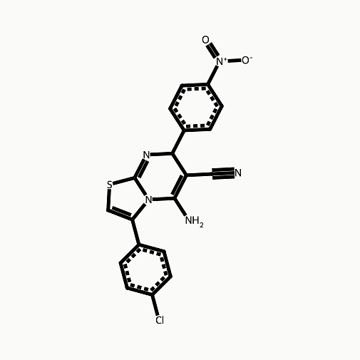 N#CC1=C(N)N2C(c3ccc(Cl)cc3)=CSC2=NC1c1ccc([N+](=O)[O-])cc1